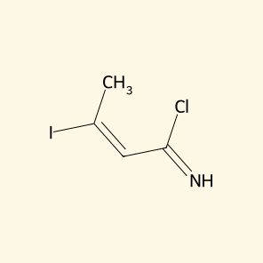 C/C(I)=C\C(=N)Cl